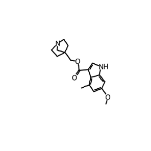 COc1cc(C)c2c(C(=O)OCC34CCN(CC3)C4)c[nH]c2c1